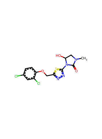 CN1CC(O)N(c2nnc(COc3ccc(Cl)cc3Cl)s2)C1=O